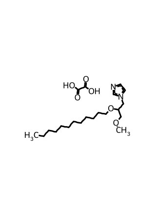 CCCCCCCCCCCCOC(COC)Cn1ccnc1.O=C(O)C(=O)O